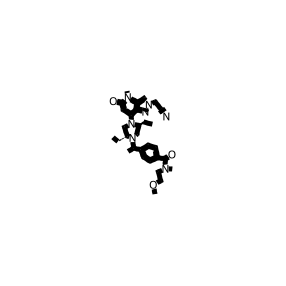 CC[C@H]1CN(C(C)c2ccc(C(=O)N(C)CCOC)cc2)[C@H](CC)CN1c1cc(=O)n(C)c2cn(CC#N)nc12